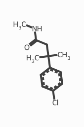 CNC(=O)CC(C)(C)c1ccc(Cl)cc1